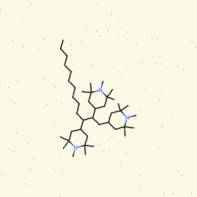 CCCCCCCCC[CH]C(C1CC(C)(C)N(C)C(C)(C)C1)C(CC1CC(C)(C)N(C)C(C)(C)C1)C1CC(C)(C)N(C)C(C)(C)C1